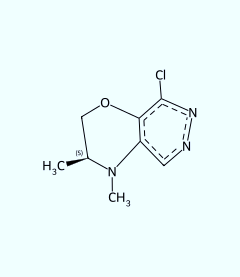 C[C@H]1COc2c(cnnc2Cl)N1C